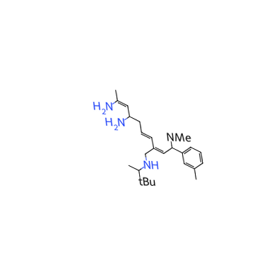 CNC(/C=C(\C=C\CC(N)/C=C(/C)N)CNC(C)C(C)(C)C)c1cccc(C)c1